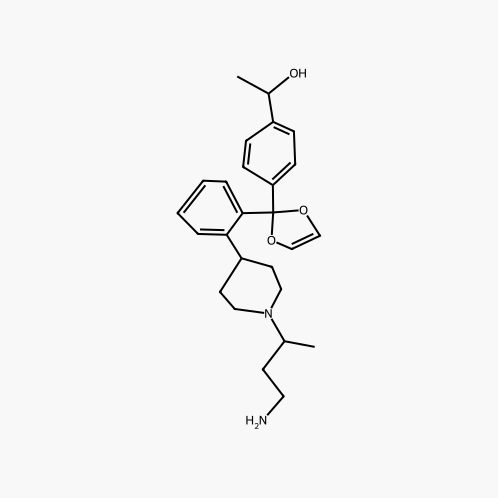 CC(O)c1ccc(C2(c3ccccc3C3CCN(C(C)CCN)CC3)OC=CO2)cc1